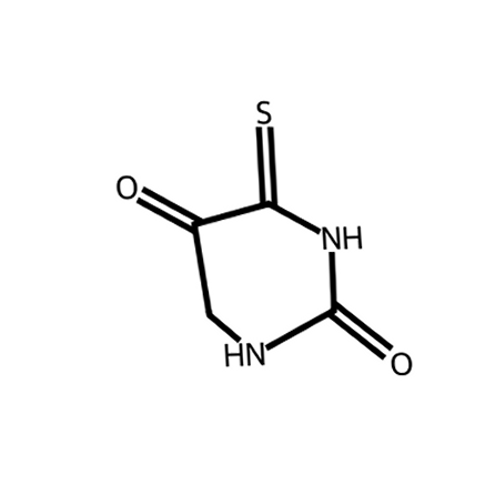 O=C1NCC(=O)C(=S)N1